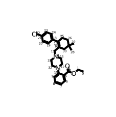 CCOC(=O)c1ccccc1N1CCN(CC2=C(c3ccc(Cl)cc3)CCC(C)(C)C2)CC1